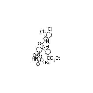 CCOC(=O)c1cccc(C2(NC(=O)c3cc4c(Cl)c(Cl)ccc4n3C)CCCN(S(=O)(=O)NC(=O)OC(C)(C)C)C2)c1